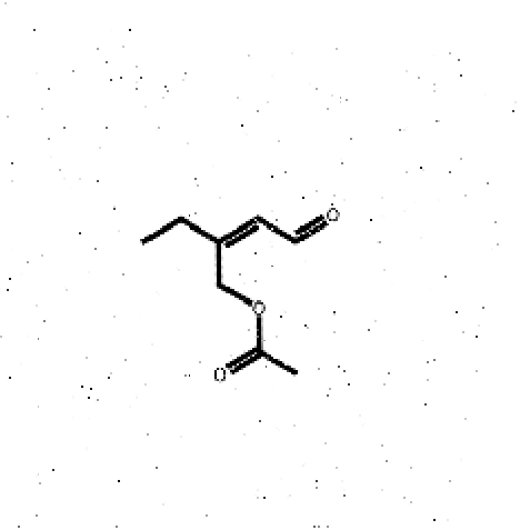 CCC(=CC=O)COC(C)=O